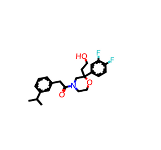 CC(C)c1cccc(CC(=O)N2CCOC(CCO)(c3ccc(F)c(F)c3)C2)c1